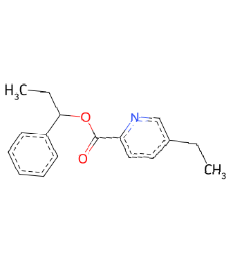 CCc1ccc(C(=O)OC(CC)c2ccccc2)nc1